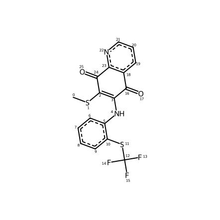 CSC1=C(Nc2ccccc2SC(F)(F)F)C(=O)c2cccnc2C1=O